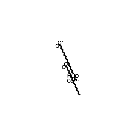 CCC(=O)O.CCCCCCCCCCCCCCCCCC(=O)[O-].CCCCCCCCCCCCCCCCCC(=O)[O-].[Co+2]